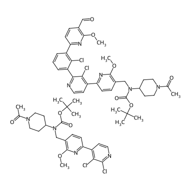 COc1nc(-c2cccc(-c3nccc(-c4ccc(CN(C(=O)OC(C)(C)C)C5CCN(C(C)=O)CC5)c(OC)n4)c3Cl)c2Cl)ccc1C=O.COc1nc(-c2ccnc(Cl)c2Cl)ccc1CN(C(=O)OC(C)(C)C)C1CCN(C(C)=O)CC1